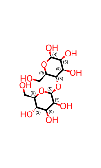 OC[C@H]1O[C@@H](O[C@H]2[C@H](O)[C@H](O)[C@H](O)O[C@@H]2CO)[C@@H](O)[C@@H](O)[C@@H]1O